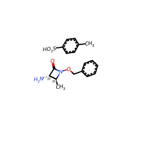 C[C@H]1[C@H](N)C(=O)N1OCc1ccccc1.Cc1ccc(S(=O)(=O)O)cc1